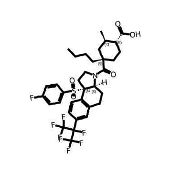 CCCC[C@]1(C(=O)N2CC[C@]3(S(=O)(=O)c4ccc(F)cc4)c4ccc(C(F)(C(F)(F)F)C(F)(F)F)cc4CC[C@H]23)CC[C@@H](C(=O)O)[C@H](C)C1